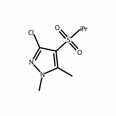 Cc1c(S(=O)(=O)C(C)C)c(Cl)nn1C